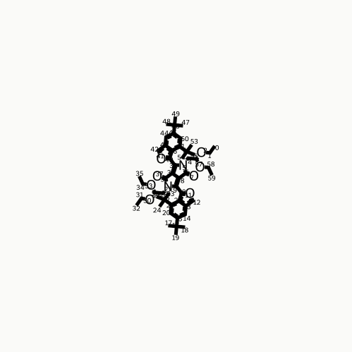 CCOC(CN1C(=O)C2=C(c3occ4cc(C(C)(C)C)cc(C(C)(C)C)c34)N(CC(OCC)OCC)C(=O)C2=C1c1occ2cc(C(C)(C)C)cc(C(C)(C)C)c12)OCC